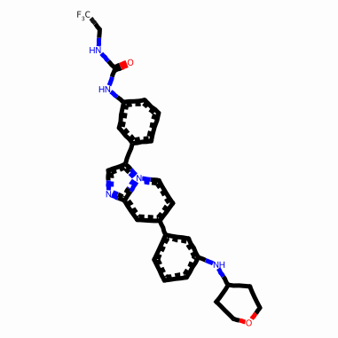 O=C(NCC(F)(F)F)Nc1cccc(-c2cnc3cc(-c4cccc(NC5CCOCC5)c4)ccn23)c1